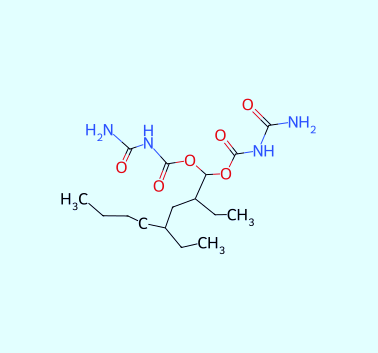 CCCCC(CC)CC(CC)C(OC(=O)NC(N)=O)OC(=O)NC(N)=O